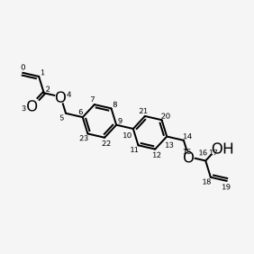 C=CC(=O)OCc1ccc(-c2ccc(COC(O)C=C)cc2)cc1